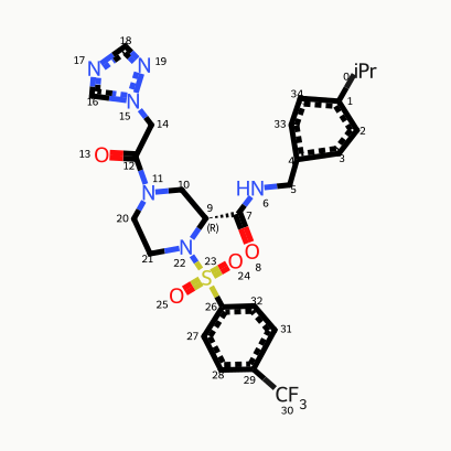 CC(C)c1ccc(CNC(=O)[C@H]2CN(C(=O)Cn3cncn3)CCN2S(=O)(=O)c2ccc(C(F)(F)F)cc2)cc1